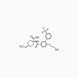 CC[C@H]1CC[C@](NC(=O)c2ccc(CCCO)c(-c3cccc(C(F)(F)F)c3)c2)(C(=O)O)CC1